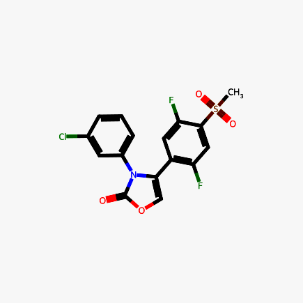 CS(=O)(=O)c1cc(F)c(-c2coc(=O)n2-c2cccc(Cl)c2)cc1F